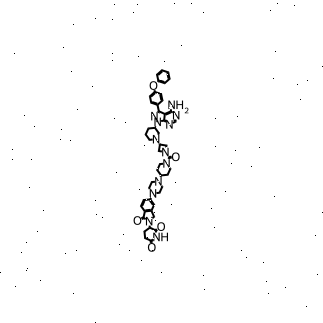 Nc1ncnc2c1c(-c1ccc(Oc3ccccc3)cc1)nn2[C@@H]1CCCN(C2CN(C(=O)N3CCC(N4CCN(c5ccc6c(c5)CN(C5CCC(=O)NC5=O)C6=O)CC4)CC3)C2)C1